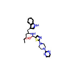 CCCCC(Cc1c[nH]c2ccccc12)NC(O)c1cnc(N2CCN(c3ncccn3)CC2)s1